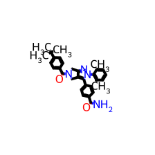 Cc1cccc(C)c1-n1nc2c(c1-c1ccc(C(N)=O)cc1)CN(C(=O)c1ccc(C(C)(C)C)cc1)C2